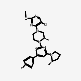 COc1ncc(Cl)c(N2CCN(c3nc(-c4ccc(F)cc4)cc(N4CCC[C@H]4C)n3)[C@H](C)C2)n1